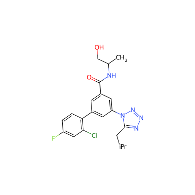 CC(C)Cc1nnnn1-c1cc(C(=O)NC(C)CO)cc(-c2ccc(F)cc2Cl)c1